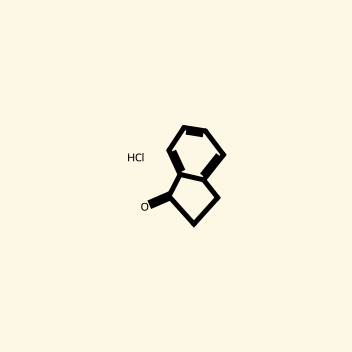 Cl.O=C1CCc2ccccc21